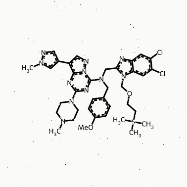 COc1ccc(CN(Cc2nc3cc(Cl)c(Cl)cc3n2COCCS(C)(C)C)c2nc(N3CCN(C)CC3)nc3c(-c4cnn(C)c4)cnn23)cc1